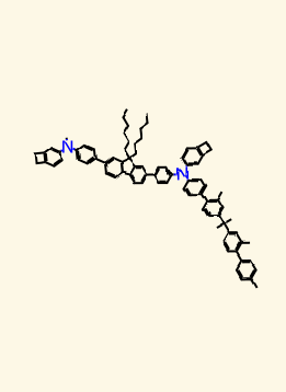 CCCCCCC1(CCCCCC)c2cc(-c3ccc(N(C)c4ccc5c(c4)CC5)cc3)ccc2-c2ccc(-c3ccc(N(c4ccc(-c5ccc(C(C)(C)c6ccc(-c7ccc(C)cc7)c(C)c6)cc5C)cc4)c4ccc5c(c4)CC5)cc3)cc21